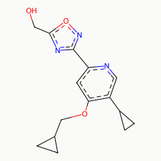 OCc1nc(-c2cc(OCC3CC3)c(C3CC3)cn2)no1